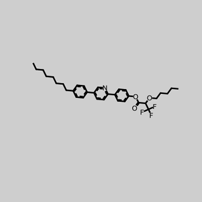 CCCCCCCCc1ccc(-c2ccc(-c3ccc(OC(=O)C(OCCCCC)C(F)(F)F)cc3)nc2)cc1